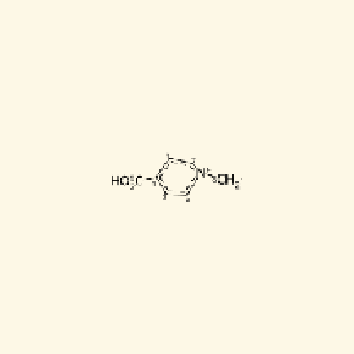 [CH2][n+]1ccc(C(=O)O)cc1